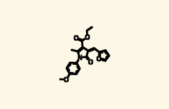 CCOC(=O)C1=C(C)N(c2ccc(OC)cc2)C(=O)C1=Cc1ccco1